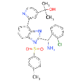 Cc1ccc(S(=O)(=O)n2c(C(N)c3ccccc3Cl)nc3c(-c4cc(C(C)(C)O)ccn4)cccc32)cc1